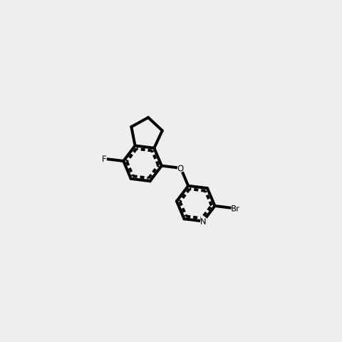 Fc1ccc(Oc2ccnc(Br)c2)c2c1CCC2